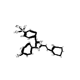 CCS(=O)(=O)c1ccc(-c2oc(CCC3CCCCC3)nc2-c2ccc(F)cc2)cc1